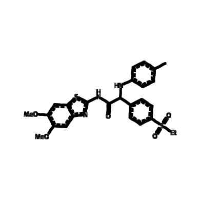 CCS(=O)(=O)c1ccc(C(Nc2ccc(C)cc2)C(=O)Nc2nc3cc(OC)c(OC)cc3s2)cc1